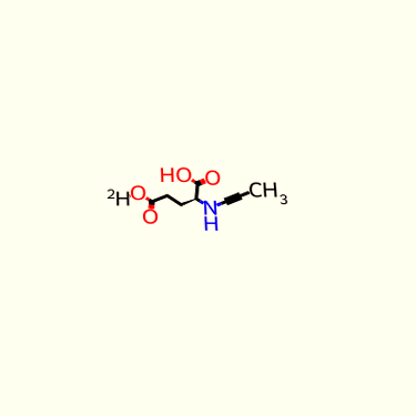 [2H]OC(=O)CC[C@H](NC#CC)C(=O)O